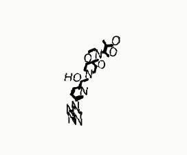 CC1=C(N2CCOC3(CCN(CC(O)c4ccc(-n5cnnn5)cn4)CC3)C2=O)COC1=O